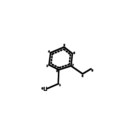 [Li][CH2]c1ccccc1CC